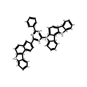 c1ccc(-c2nc(-c3ccc4c(ccc5oc6ccccc6c54)c3)nc(-n3c4ccccc4c4c5oc6ccccc6c5ccc43)n2)cc1